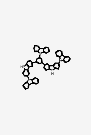 c1ccc2c(c1)c1ccccc1n2-c1cc(-c2ccc3[pH]c4ccc(-n5c6ccccc6c6ccccc65)cc4c3c2)cc(-c2ccc3[pH]c4ccc(-n5c6ccccc6c6ccccc65)cc4c3c2)c1